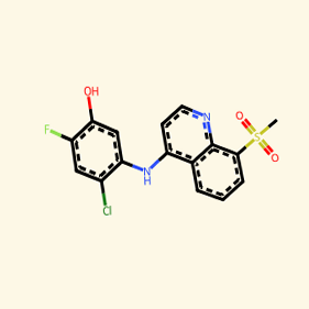 CS(=O)(=O)c1cccc2c(Nc3cc(O)c(F)cc3Cl)ccnc12